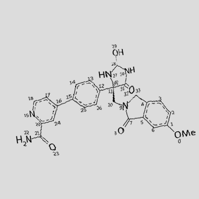 COc1ccc2c(c1)C(=O)N(C[C@@]1(c3ccc(-c4ccnc(C(N)=O)c4)cc3)NC(O)NC1=O)C2